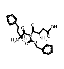 CC(N)(CCc1ccccc1)C(=O)N(C(=O)OCc1ccccc1)C(=O)[C@@H](N)CC(=O)O